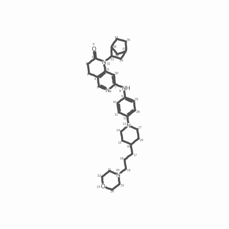 O=C1CCc2cnc(Nc3ccc(N4CCC(CCCN5CCOCC5)CC4)cc3)cc2N1C1CC2CCC1C2